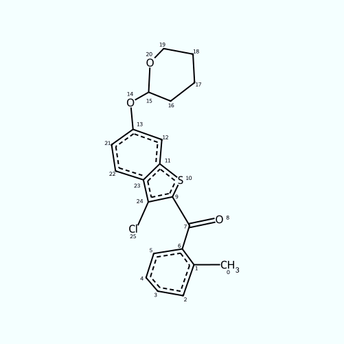 Cc1ccccc1C(=O)c1sc2cc(OC3CCCCO3)ccc2c1Cl